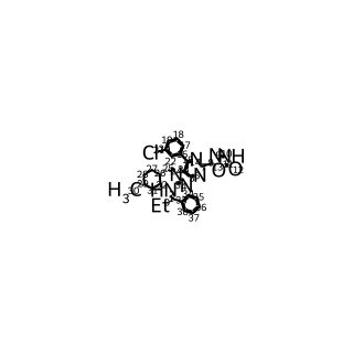 CC[C@H](Nc1nc2nc(-c3n[nH]c(=O)o3)nc(-c3cccc(Cl)c3)c2n1C[C@H]1CC[C@H](C)CC1)c1ccccc1